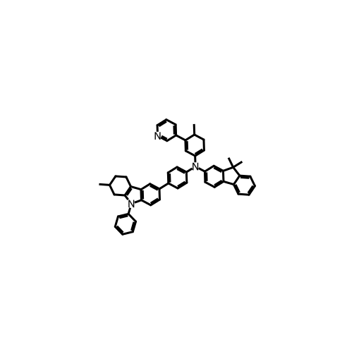 CC1CCc2c(n(-c3ccccc3)c3ccc(-c4ccc(N(C5=CCC(C)C(c6cccnc6)=C5)c5ccc6c(c5)C(C)(C)c5ccccc5-6)cc4)cc23)C1